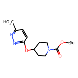 CC(C)(C)OC(=O)N1CCC(Oc2ccc(C(=O)O)nn2)CC1